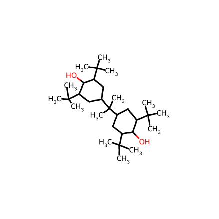 CC(C)(C)C1CC(C(C)(C)C2CC(C(C)(C)C)C(O)C(C(C)(C)C)C2)CC(C(C)(C)C)C1O